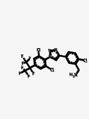 NCc1cc(-c2cn(-c3c(Cl)cc(C(F)(C(F)(F)F)C(F)(F)F)cc3Cl)nn2)ccc1Cl